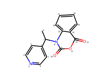 CC(c1ccncc1)n1c(=O)oc(=O)c2ccccc21